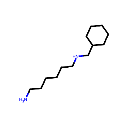 NCCCCCCNCC1CCCCC1